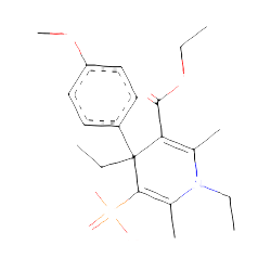 CCOC(=O)C1=C(C)N(CC)C(C)=C(P(=O)(O)O)C1(CC)c1ccc(OC)cc1